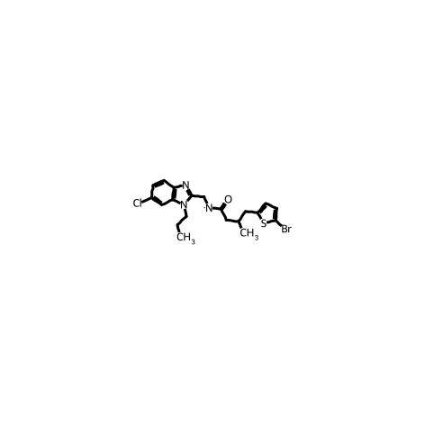 CCCn1c(C[N]C(=O)CC(C)Cc2ccc(Br)s2)nc2ccc(Cl)cc21